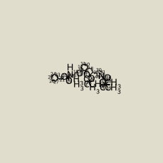 CC(C)(C)OC(=O)[C@@H](Cc1cccc(OCCNC(=O)OCc2ccccc2)c1)[C@@H]1CCN(C(=O)OC(C)(C)C)C1